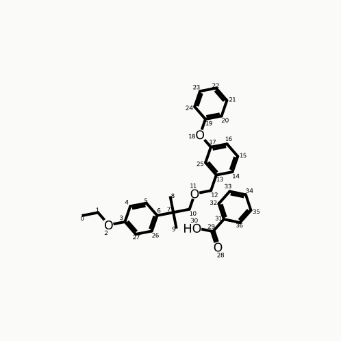 CCOc1ccc(C(C)(C)COCc2cccc(Oc3ccccc3)c2)cc1.O=C(O)c1ccccc1